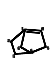 C1=C2CC[C](C1)C2